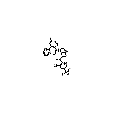 Cc1cnc(C(=O)N2CC3CC34CC(Nc3ncc(C(F)(F)F)cc3Cl)C24)c(-c2ncccn2)c1